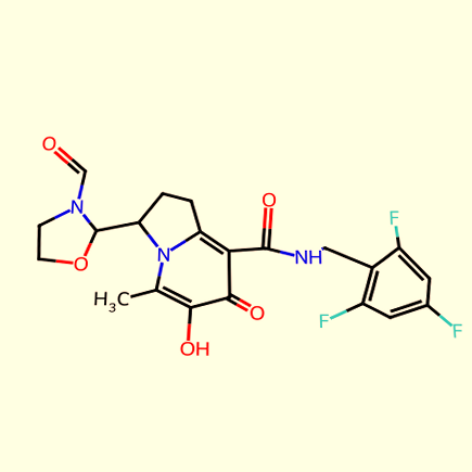 Cc1c(O)c(=O)c(C(=O)NCc2c(F)cc(F)cc2F)c2n1C(C1OCCN1C=O)CC2